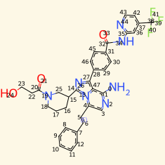 Nc1ncc(/C=C/c2ccccc2)n2c(C3CCCN(C(=O)CCO)C3)nc(-c3ccc(C(=O)Nc4cc(C(F)(F)F)ccn4)cc3)c12